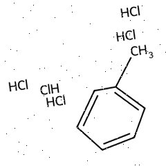 Cc1ccccc1.Cl.Cl.Cl.Cl.Cl